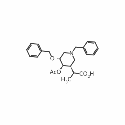 CC(=O)O[C@H]1[C@H](OCc2ccccc2)CN(Cc2ccccc2)C[C@H]1C(C)C(=O)O